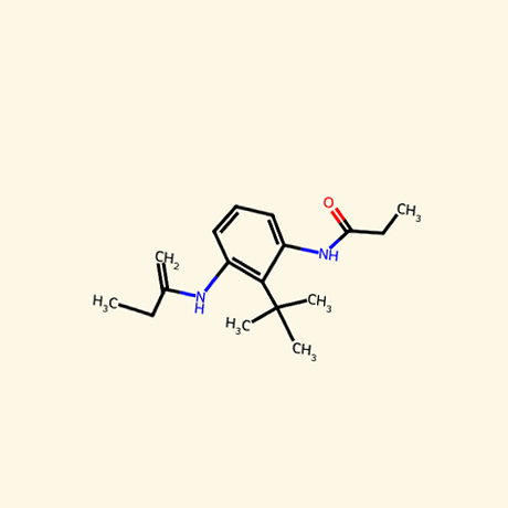 C=C(CC)Nc1cccc(NC(=O)CC)c1C(C)(C)C